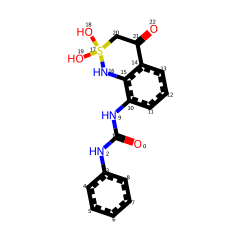 O=C(Nc1ccccc1)Nc1cccc2c1NS(O)(O)CC2=O